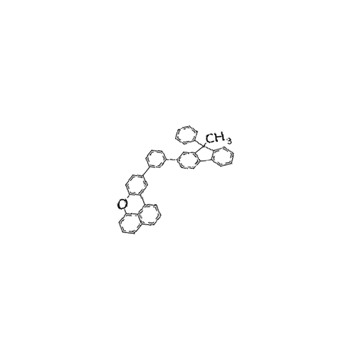 CC1(c2ccccc2)c2ccccc2-c2ccc(-c3cccc(-c4ccc5c(c4)-c4cccc6cccc(c46)O5)c3)cc21